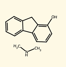 CNC.Oc1cccc2c1Cc1ccccc1-2